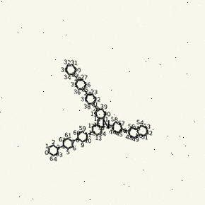 c1ccc(-c2ccc(-c3ccc(-c4ccc5c(c4)c4cc(-c6ccc(-c7ccc(-c8ccccc8)cc7)cc6)ccc4n5-c4ccc(-c5ccc6ccccc6c5)cc4)cc3)cc2)cc1